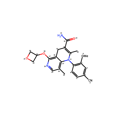 COc1cc(C#N)ccc1N1C(C)=C(C(N)=O)Cc2c(OC3COC3)ncc(C)c21